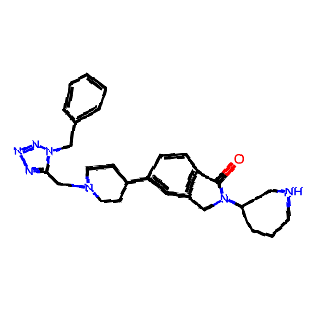 O=C1c2ccc(C3CCN(Cc4nnnn4Cc4ccccc4)CC3)cc2CN1C1CCCNC1